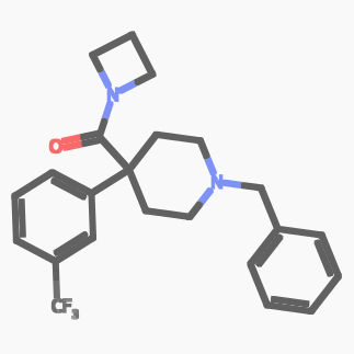 O=C(N1CCC1)C1(c2cccc(C(F)(F)F)c2)CCN(Cc2ccccc2)CC1